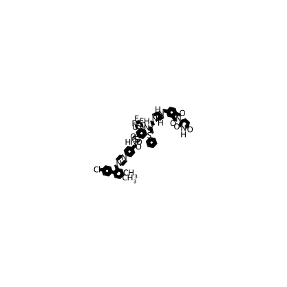 CC1(C)CCC(c2ccc(Cl)cc2)=C(CN2CCN(c3ccc(C(=O)NS(=O)(=O)c4ccc(N[C@H](CCN5C[C@H]6C[C@@H]5CN6Cc5ccc6c(c5)C(=O)N(C5CCC(=O)NC5=O)C6=O)CSc5ccccc5)c(S(=O)(=O)C(F)(F)F)c4)cc3)CC2)C1